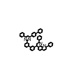 c1ccc(-c2ccc(-c3cc(-c4ccccc4)nc(-c4cccc(-c5cccc(-c6cc(-c7ccccc7)nc7c6ccc6ccc(-c8ccccc8)nc67)c5)c4)n3)cc2)cc1